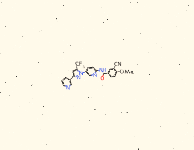 COc1ccc(C(=O)Nc2ccc(-n3nc(-c4cccnc4)cc3C(F)(F)F)cn2)cc1C#N